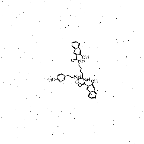 O=C(NCCCCC(NC(=O)c1cc2ccccc2cc1O)C(=O)NCCc1ccc(O)cc1)c1cc2ccccc2cc1O